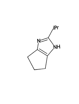 CC(C)c1nc2c([nH]1)CCC2